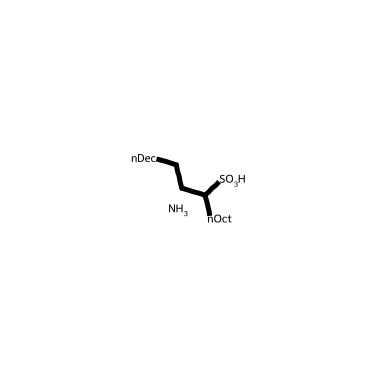 CCCCCCCCCCCCC(CCCCCCCC)S(=O)(=O)O.N